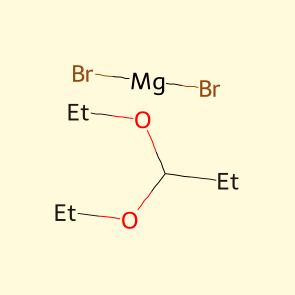 [Br][Mg][Br].[CH2]CC(OCC)OCC